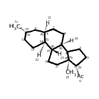 CC(=O)[C@H]1CCC2[C@@H]3CC[C@@H]4C[C@@H](C)CC[C@@H]4[C@H]3CC[C@@]21C